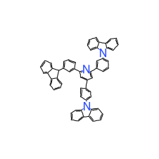 c1cc(-c2cc(-c3ccc(-n4c5ccccc5c5ccccc54)cc3)cc(-c3cccc(-n4c5ccccc5c5ccccc54)c3)n2)cc(C2c3ccccc3-c3ccccc32)c1